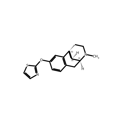 CN1CC[C@@]23CCCC[C@@H]2[C@@H]1Cc1ccc(Oc2nccs2)cc13